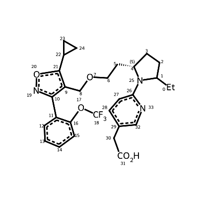 CCC1CC[C@@H](CCOCc2c(-c3ccccc3OC(F)(F)F)noc2C2CC2)N1c1ccc(CC(=O)O)cn1